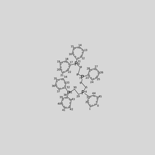 c1ccc(P(CCP(CCP(c2ccccc2)c2ccccc2)c2ccccc2)CCP(c2ccccc2)c2ccccc2)cc1